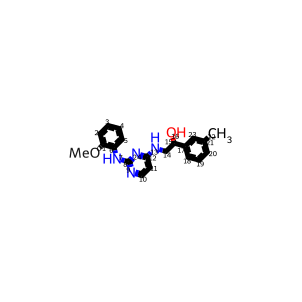 COc1ccccc1Nc1nccc(NCC(O)c2cccc(C)c2)n1